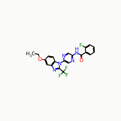 CCOc1ccc2c(c1)nc(C(F)(F)F)n2-c1cnc(NC(=O)c2ccccc2F)cn1